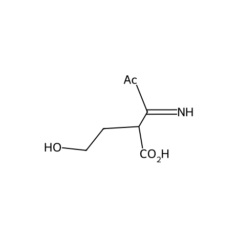 [CH2]C(=O)C(=N)C(CCO)C(=O)O